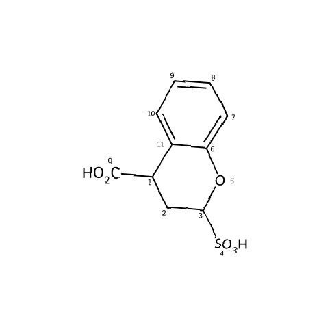 O=C(O)C1CC(S(=O)(=O)O)Oc2ccccc21